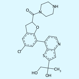 CC(O)(CO)c1cc2nccc(-c3cc(Cl)cc4c3OC(C(=O)N3CCNCC3)C4)c2s1